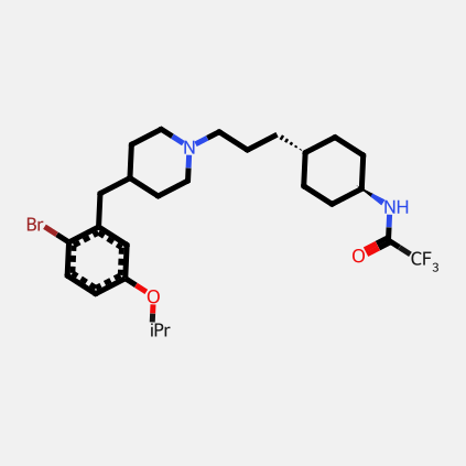 CC(C)Oc1ccc(Br)c(CC2CCN(CCC[C@H]3CC[C@H](NC(=O)C(F)(F)F)CC3)CC2)c1